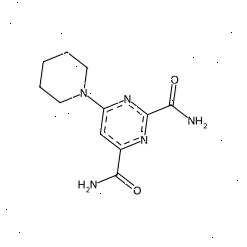 NC(=O)c1cc(N2CCCCC2)nc(C(N)=O)n1